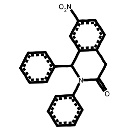 O=C1Cc2ccc([N+](=O)[O-])cc2C(c2ccccc2)N1c1ccccc1